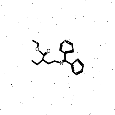 CCOC(=O)C(CC)CCN=C(c1ccccc1)c1ccccc1